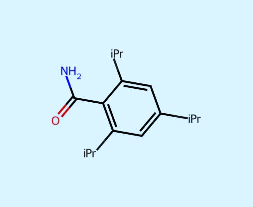 CC(C)c1cc(C(C)C)c(C(N)=O)c(C(C)C)c1